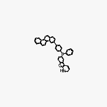 C1=Cc2c(oc3ccc(N(c4ccccc4)c4ccc(-c5ccc6ccc7c8ccccc8ccc7c6c5)cc4)cc23)NC1